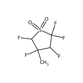 CC1(F)C(F)C(F)(F)S(=O)(=O)C1F